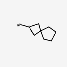 CCCN1CC2(CCCC2)C1